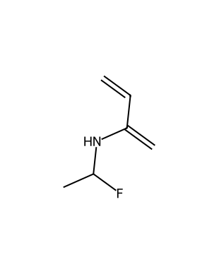 C=CC(=C)NC(C)F